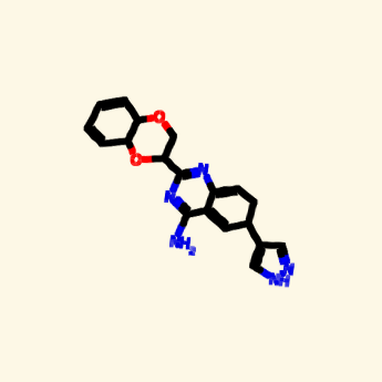 Nc1nc(C2COC3C=CC=CC3O2)nc2c1=CC(c1cn[nH]c1)CC=2